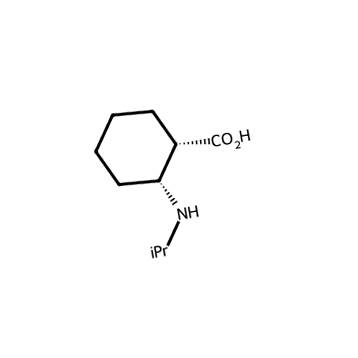 CC(C)N[C@@H]1CCCC[C@@H]1C(=O)O